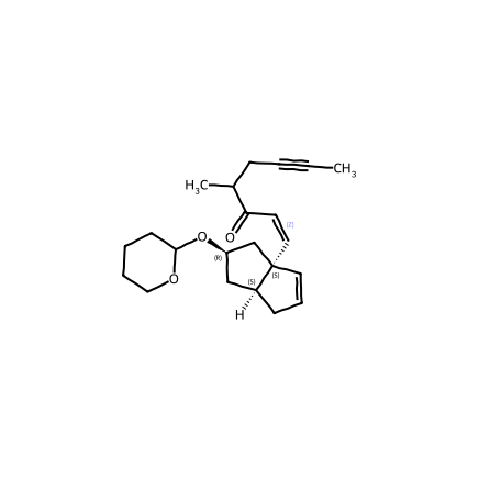 CC#CCC(C)C(=O)/C=C\[C@]12C=CC[C@H]1C[C@@H](OC1CCCCO1)C2